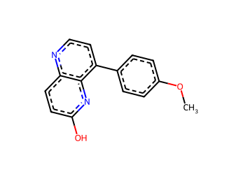 COc1ccc(-c2ccnc3ccc(O)nc23)cc1